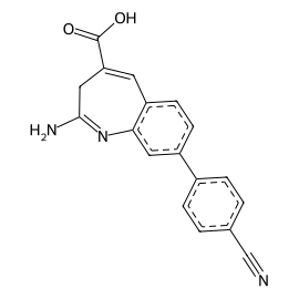 N#Cc1ccc(-c2ccc3c(c2)N=C(N)CC(C(=O)O)=C3)cc1